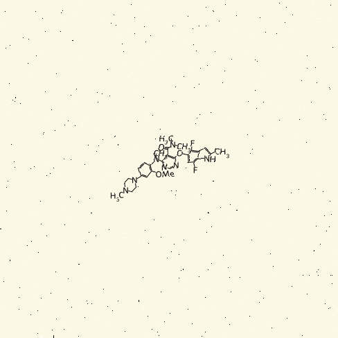 COc1cc(N2CCN(C)CC2)ccc1N(C)c1ncnc(Oc2cc(F)c3[nH]c(C)cc3c2F)c1C(=O)N(C)C